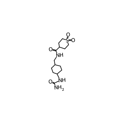 NC(=O)NC1CCC(CNC(=O)C2CCS(=O)(=O)CC2)CC1